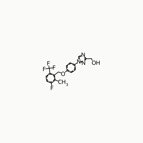 Cc1c(F)ccc(C(F)(F)F)c1COc1ccc(-n2cnc(CO)n2)cc1